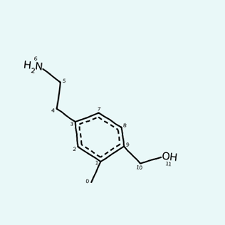 Cc1cc(CCN)ccc1CO